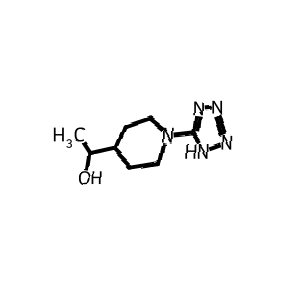 CC(O)C1CCN(c2nnn[nH]2)CC1